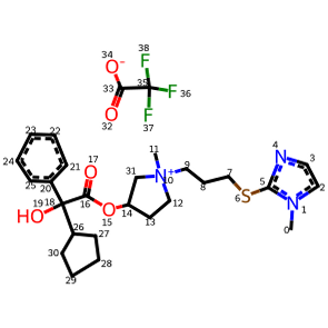 Cn1ccnc1SCCC[N+]1(C)CCC(OC(=O)C(O)(c2ccccc2)C2CCCC2)C1.O=C([O-])C(F)(F)F